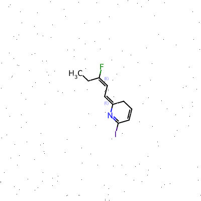 CC/C(F)=C\C=C1/CC=CC(I)=N1